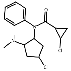 CNC1CC(Cl)CC1N(C(=O)C1CC1Cl)c1ccccc1